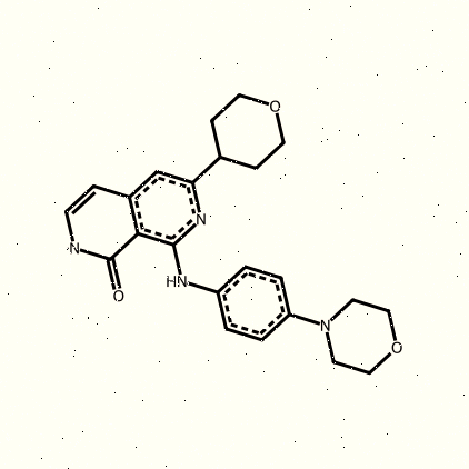 O=C1[N]C=Cc2cc(C3CCOCC3)nc(Nc3ccc(N4CCOCC4)cc3)c21